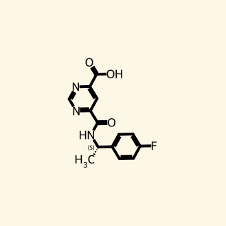 C[C@H](NC(=O)c1cc(C(=O)O)ncn1)c1ccc(F)cc1